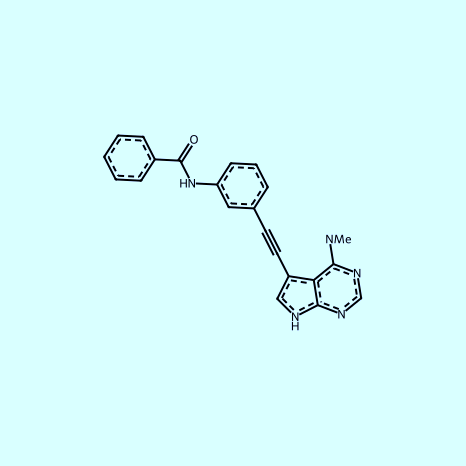 CNc1ncnc2[nH]cc(C#Cc3cccc(NC(=O)c4ccccc4)c3)c12